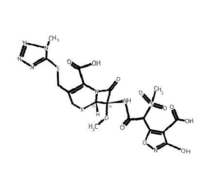 CO[C@@]1(NC(=O)C(c2onc(O)c2C(=O)O)S(C)(=O)=O)C(=O)N2C(C(=O)O)=C(CSc3nnnn3C)CS[C@H]21